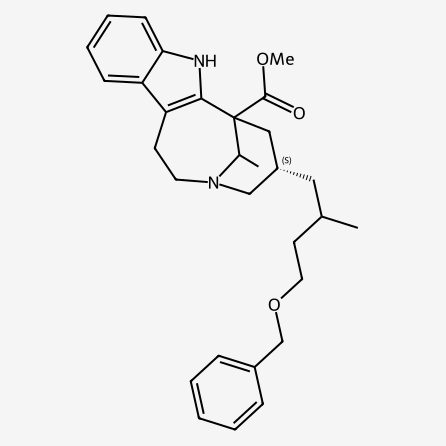 COC(=O)C12C[C@H](CC(C)CCOCc3ccccc3)CN(CCc3c1[nH]c1ccccc31)C2C